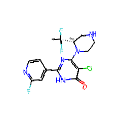 CC(F)(F)[C@@H]1CNCCN1c1nc(-c2ccnc(F)c2)[nH]c(=O)c1Cl